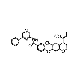 C/C=C(\O)C1CCOc2cc(Oc3ccc(C(=O)Nc4cncc(-c5ccccc5)n4)cc3)c(Cl)cc21